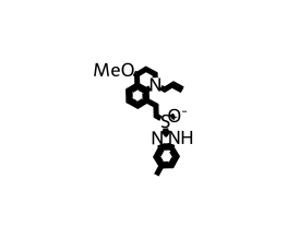 C=CCN1CCC(OC)c2cccc(CC[S+]([O-])c3nc4cc(C)ccc4[nH]3)c21